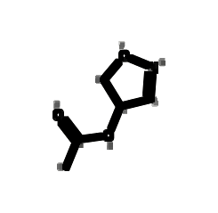 CC(=O)OC1[C]=NOC1